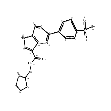 CC(C)S(=O)(=O)c1ccc(-c2cnc3[nH]cc(C(=O)NCC4CCCO4)c3n2)cc1